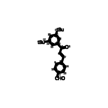 CC(C)(C)c1cc(C(=O)/C=C/c2ccc(C=O)cc2)cc(C(C)(C)C)c1